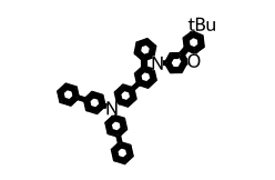 CC(C)(C)c1ccc2oc3ccc(-n4c5ccccc5c5cc(-c6ccc(N(c7ccc(-c8ccccc8)cc7)c7ccc(-c8ccccc8)cc7)cc6)ccc54)cc3c2c1